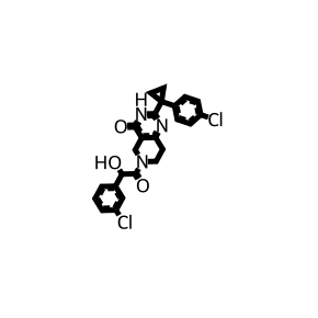 O=C(C(O)c1cccc(Cl)c1)N1CCc2nc(C3(c4ccc(Cl)cc4)CC3)[nH]c(=O)c2C1